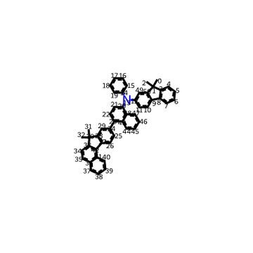 CC1(C)c2ccccc2-c2ccc(N(c3ccccc3)c3ccc(-c4ccc5c(c4)C(C)(C)c4ccc6ccccc6c4-5)c4ccccc34)cc21